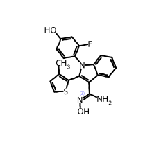 Cc1ccsc1-c1c(/C(N)=N/O)c2ccccc2n1-c1ccc(O)cc1F